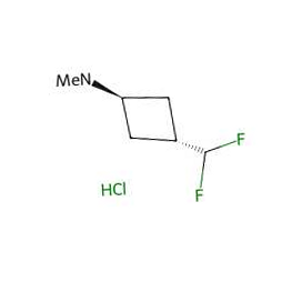 CN[C@H]1C[C@H](C(F)F)C1.Cl